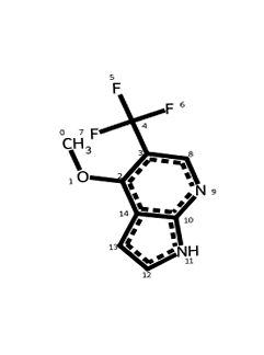 COc1c(C(F)(F)F)cnc2[nH]ccc12